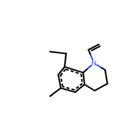 C=CN1CCCc2cc(C)cc(CC)c21